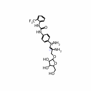 N/C(=C\N(N)c1ccc(NC(=O)Nc2ccccc2C(F)(F)F)cc1)COC1OC(CO)C(O)C1O